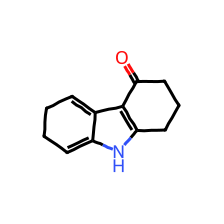 O=C1CCCc2[nH]c3c(c21)=CCCC=3